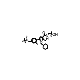 Cc1cc(CNC(C)(C)C)ccc1-c1cc(C(=O)NCC(C)(C)O)c(C)n1CC1CCCCC1